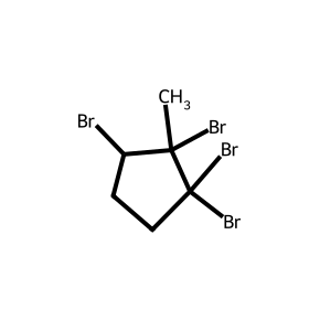 CC1(Br)C(Br)CCC1(Br)Br